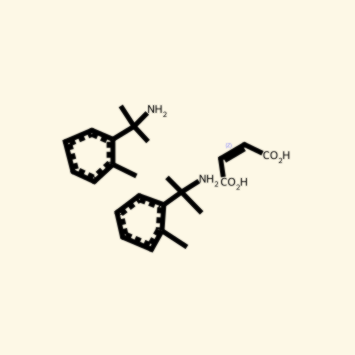 Cc1ccccc1C(C)(C)N.Cc1ccccc1C(C)(C)N.O=C(O)/C=C\C(=O)O